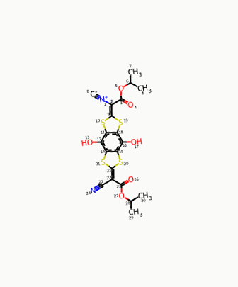 [C-]#[N+]C(C(=O)OC(C)C)=C1Sc2c(O)c3c(c(O)c2S1)SC(=C(C#N)C(=O)OC(C)C)S3